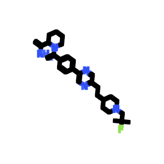 C=C(N)C1CCCCN1C(=C)c1ccc(-c2cnc(CCC3CCN(CC(C)(C)F)CC3)cn2)cc1